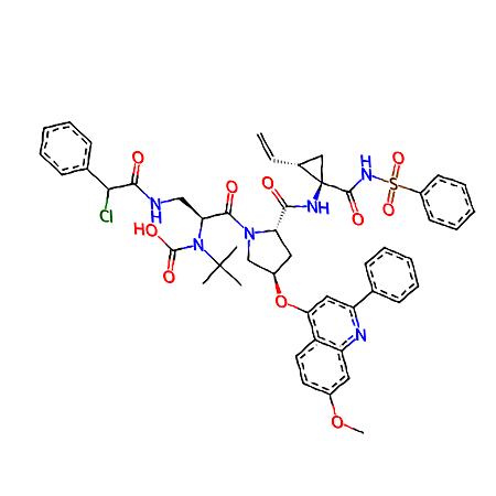 C=C[C@@H]1C[C@]1(NC(=O)[C@@H]1C[C@@H](Oc2cc(-c3ccccc3)nc3cc(OC)ccc23)CN1C(=O)[C@H](CNC(=O)C(Cl)c1ccccc1)N(C(=O)O)C(C)(C)C)C(=O)NS(=O)(=O)c1ccccc1